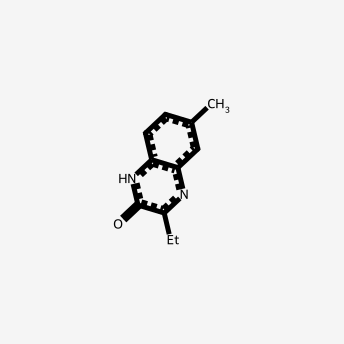 CCc1nc2cc(C)ccc2[nH]c1=O